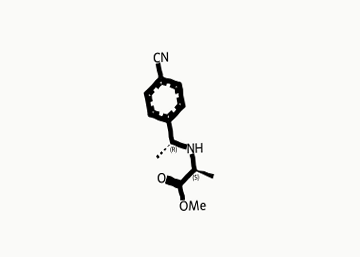 COC(=O)[C@H](C)N[C@H](C)c1ccc(C#N)cc1